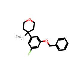 CCOC(=O)C1(c2cc(F)cc(OCc3ccccc3)c2)CCOCC1